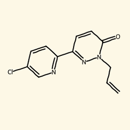 C=CCn1nc(-c2ccc(Cl)cn2)ccc1=O